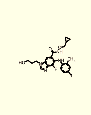 Cc1cc(I)ccc1Nc1c(C(=O)NOCC2CC2)cc2c(ncn2CCCO)c1F